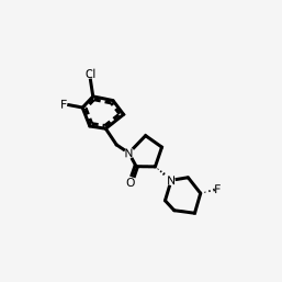 O=C1[C@@H](N2CCC[C@@H](F)C2)CCN1Cc1ccc(Cl)c(F)c1